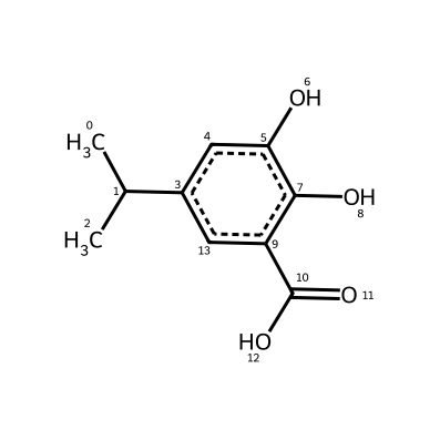 CC(C)c1cc(O)c(O)c(C(=O)O)c1